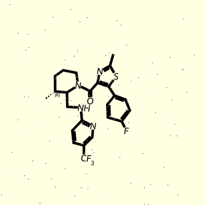 Cc1nc(C(=O)N2CCC[C@@H](C)C2CNc2ccc(C(F)(F)F)cn2)c(-c2ccc(F)cc2)s1